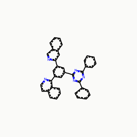 c1ccc(-c2nc(-c3ccccc3)nc(-c3cc(-c4cc5ccccc5cn4)cc(-c4nccc5ccccc45)c3)n2)cc1